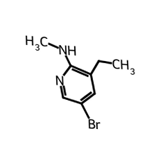 CCc1cc(Br)cnc1NC